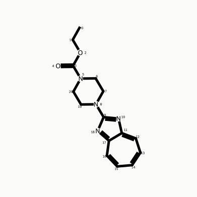 CCOC(=O)N1CCN(c2nc3cccccc-3n2)CC1